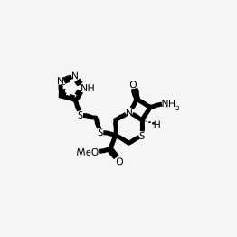 COC(=O)C1(SCSc2cnn[nH]2)CS[C@@H]2C(N)C(=O)N2C1